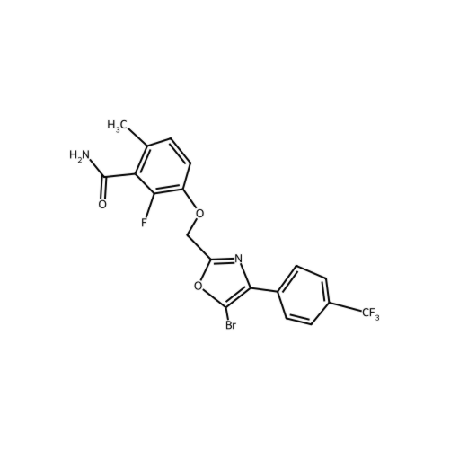 Cc1ccc(OCc2nc(-c3ccc(C(F)(F)F)cc3)c(Br)o2)c(F)c1C(N)=O